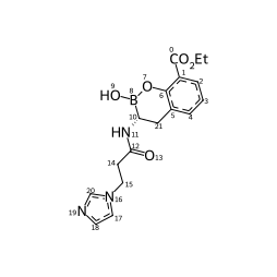 CCOC(=O)c1cccc2c1OB(O)[C@@H](NC(=O)CCn1ccnc1)C2